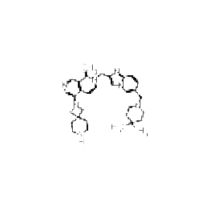 C=C1c2cncc(N3CC4(CCNCC4)C3)c2C=CN1Cc1cn2cc(CN3CCC(C)(C)CC3)ccc2n1